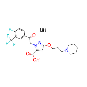 O=C(Cn1nc(OCCCN2CCCCC2)cc1C(=O)O)c1ccc(F)c(C(F)(F)F)c1.[LiH]